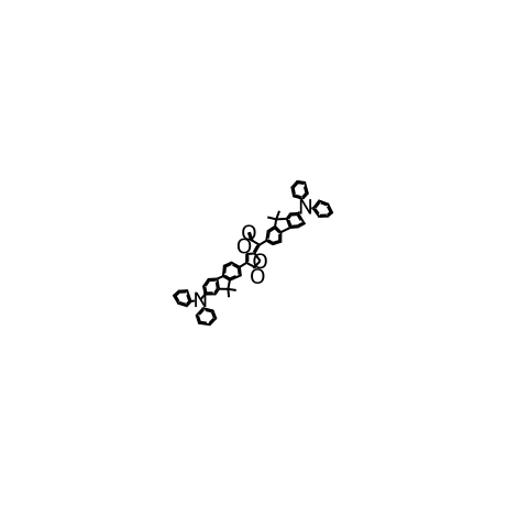 CC1(C)c2cc(C3=C4OC(=O)C(c5ccc6c(c5)C(C)(C)c5cc(N(c7ccccc7)c7ccccc7)ccc5-6)=C4OC3=O)ccc2-c2ccc(N(c3ccccc3)c3ccccc3)cc21